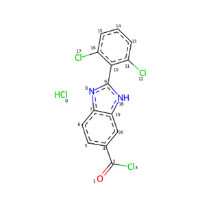 Cl.O=C(Cl)c1ccc2nc(-c3c(Cl)cccc3Cl)[nH]c2c1